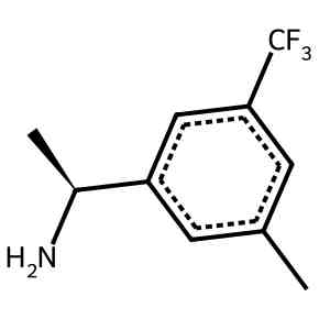 Cc1cc([C@H](C)N)cc(C(F)(F)F)c1